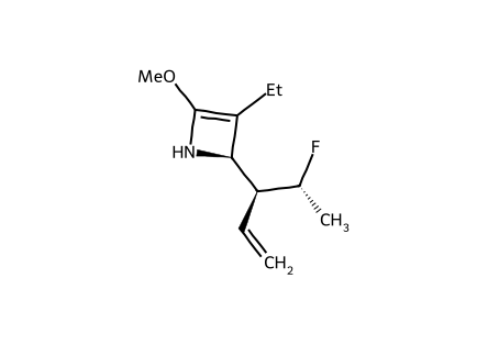 C=C[C@H]([C@@H](C)F)[C@H]1NC(OC)=C1CC